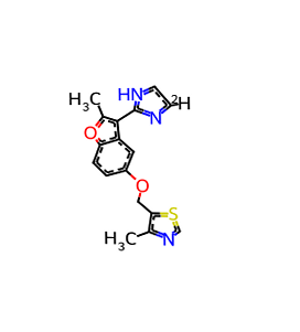 [2H]c1c[nH]c(-c2c(C)oc3ccc(OCc4scnc4C)cc23)n1